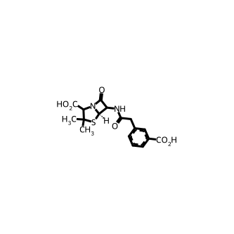 CC1(C)S[C@@H]2C(NC(=O)Cc3cccc(C(=O)O)c3)C(=O)N2C1C(=O)O